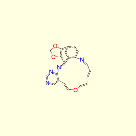 C1=N\c2ccc3cc2/c(c2c3OCO2)=N/c2ncncc2/C=C/O/C=C/C=C/1